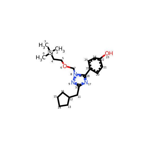 C[Si](C)(C)CCOCn1nc(CC2CCCC2)nc1-c1ccc(O)cc1